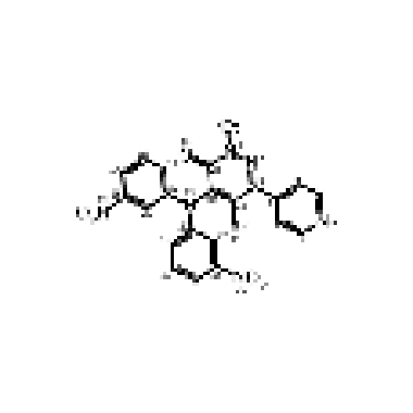 CCn1nc(-c2ccncc2)c(C(C)=O)c(N(c2cccc([N+](=O)[O-])c2)c2cccc([N+](=O)[O-])c2)c1=O